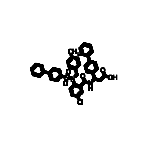 Cc1ccc(CN(c2ccc(Cl)cc2C(=O)NC(CC(=O)O)c2ccc(-c3ccccc3)cc2)S(=O)(=O)c2ccc(-c3ccccc3)cc2)cc1